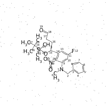 CN(Cc1ccccc1)c1cc(F)cc(C(CCC=O)O[Si](C)(C)C(C)(C)C)c1[N+](=O)[O-]